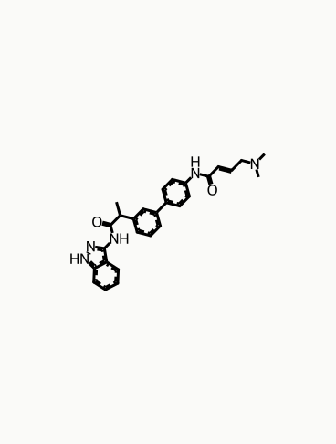 CC(C(=O)Nc1n[nH]c2ccccc12)c1cccc(-c2ccc(NC(=O)C=CCN(C)C)cc2)c1